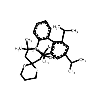 CC(C)c1cc(C(C)C)c(-c2ccccc2P2C(C)(C)CC3(CC2(C)C)OCCCO3)c(C(C)C)c1